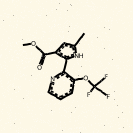 COC(=O)c1cc(C)[nH]c1-c1ncccc1OC(F)(F)F